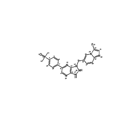 CP(C)(=O)c1ccc(-c2cnc3c(n2)N(Cc2ccc4ncc(F)n4c2)NN3)cc1